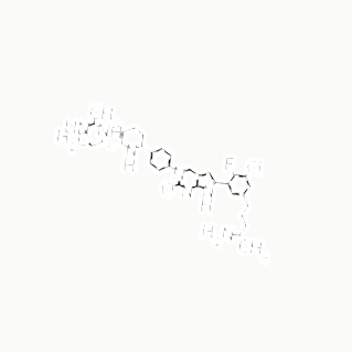 C=C[C@H](C[C@@H]1CCC[C@@H](c2ccc(-n3cc4cc(-c5cc(CCC[C@H](C)N)cc(Cl)c5F)[nH]c4nc3=O)cc2)N1)NC(C)=N